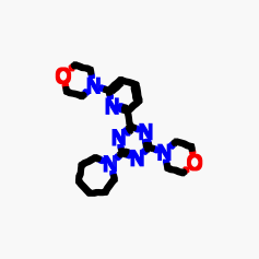 c1cc(-c2nc(N3CCCCCC3)nc(N3CCOCC3)n2)nc(N2CCOCC2)c1